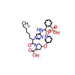 CCCCCCC(C(=O)N1CC(Oc2cccnc2)C[C@H]1C(=O)O)n1cnc(NC(=O)c2ccccc2S(=O)(=O)O)c1